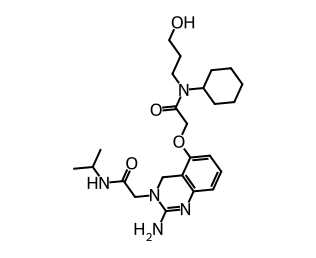 CC(C)NC(=O)CN1Cc2c(cccc2OCC(=O)N(CCCO)C2CCCCC2)N=C1N